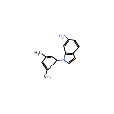 CC1=CC(n2ccc3ccc(N)cc32)CC(C)=C1